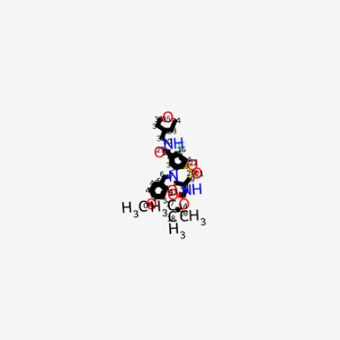 COc1ccc(CN2C(=O)[C@@H](NC(=O)OC(C)(C)C)CS(=O)(=O)c3cc(F)c(C(=O)NCC4CCOCC4)cc32)cc1